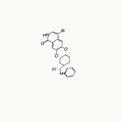 CC[C@@H](N)[C@]1(c2ccccc2)CC[C@@H](Oc2cc3c(Br)c[nH]c(=O)c3cc2Cl)CC1